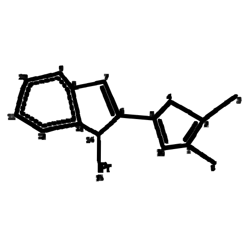 CC1=C(C)CC(C2=Cc3ccccc3C2C(C)C)=C1